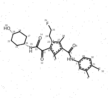 Cc1cc(NC(=O)c2c(C)c(C(=O)C(=O)N[C@H]3CC[C@@H](O)CC3)n(CCF)c2C)ccc1F